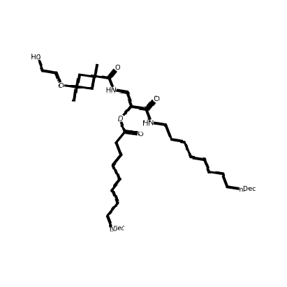 CCCCCCCCCCCCCCCCCCNC(=O)C(CNC(=O)C1(C)CC(C)(OCCO)C1)OC(=O)CCCCCCCCCCCCCCCCC